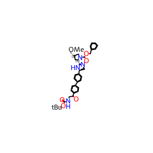 COC[C@H]1C[C@@H](c2ncc(-c3ccc(-c4ccc(C(=O)CNC(=O)OC(C)(C)C)cc4)cc3)[nH]2)N(C(=O)OCc2ccccc2)C1